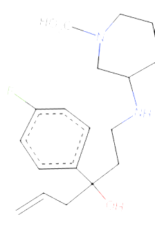 C=CCC(O)(CCNC1CCCN(C(=O)O)C1)c1ccc(F)cc1